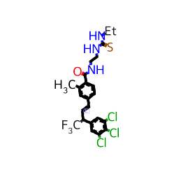 CCNC(=S)NCCNC(=O)c1ccc(/C=C/C(c2cc(Cl)c(Cl)c(Cl)c2)C(F)(F)F)cc1C